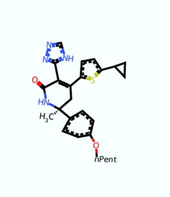 CCCCCOc1ccc([C@]2(C)CC(c3ccc(C4CC4)s3)=C(c3nnc[nH]3)C(=O)N2)cc1